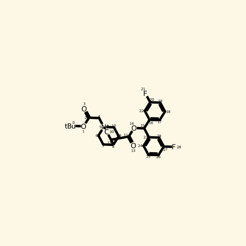 CC(C)(C)OC(=O)C[N+]12CCC(CC1)C(C(=O)OC(c1cccc(F)c1)c1cccc(F)c1)C2